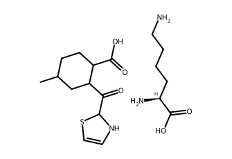 CC1CCC(C(=O)O)C(C(=O)C2NC=CS2)C1.NCCCC[C@H](N)C(=O)O